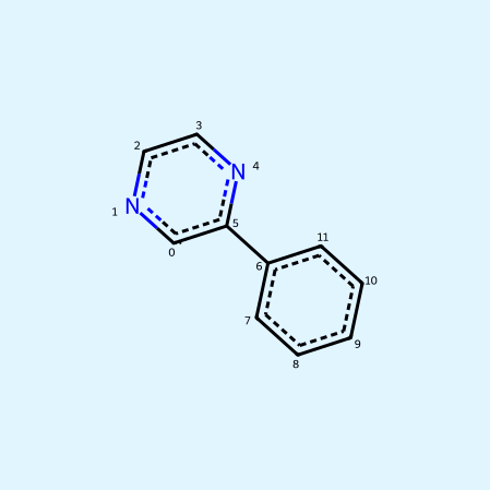 [c]1nccnc1-c1ccccc1